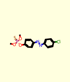 COP(=S)(OC)Oc1ccc(N=Nc2ccc(Cl)cc2)cc1